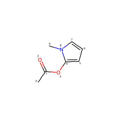 CC(=O)Oc1cccn1C